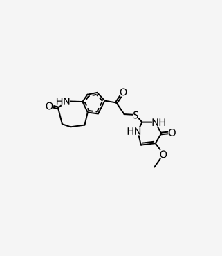 COC1=CNC(SCC(=O)c2ccc3c(c2)CCCC(=O)N3)NC1=O